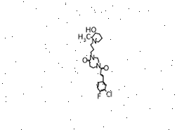 CC1C(O)CCCN1CCCN1CCN(C(=O)/C=C/c2ccc(F)c(Cl)c2)CCC1=O